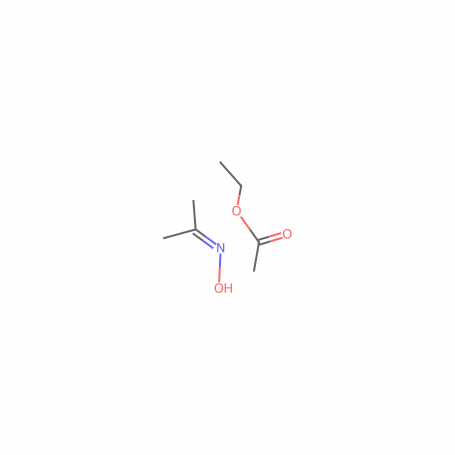 CC(C)=NO.CCOC(C)=O